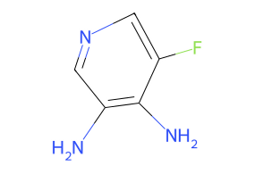 Nc1cncc(F)c1N